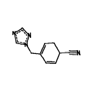 N#CC1C=CC(Cn2cncn2)=CC1